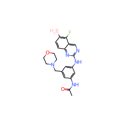 Bc1ccc2nc(Nc3cc(CN4CCOCC4)cc(NC(C)=O)c3)ncc2c1F